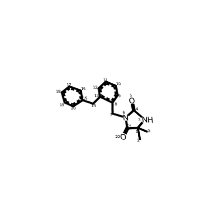 CC1(C)NC(=O)N(Cc2ccccc2Cc2ccccc2)C1=O